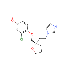 COc1ccc(OC[C@@]2(CCn3ccnc3)CCCO2)c(Cl)c1